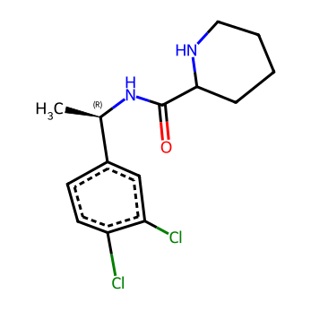 C[C@@H](NC(=O)C1CCCCN1)c1ccc(Cl)c(Cl)c1